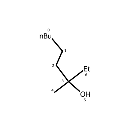 CCCC[CH]CC(C)(O)CC